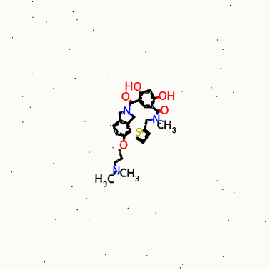 CN(C)CCCOc1ccc2c(c1)CN(C(=O)c1cc(C(=O)N(C)Cc3cccs3)c(O)cc1O)C2